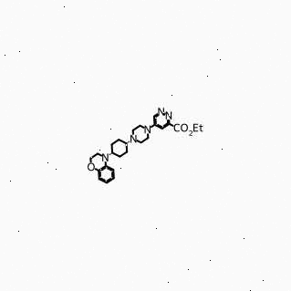 CCOC(=O)c1cc(N2CCN([C@H]3CC[C@@H](N4CCOc5ccccc54)CC3)CC2)cnn1